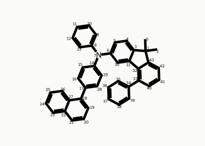 CC1(C)c2ccc(N(c3ccccc3)c3ccc(-c4cccc5ccccc45)cc3)cc2-c2c(-c3ccccc3)cccc21